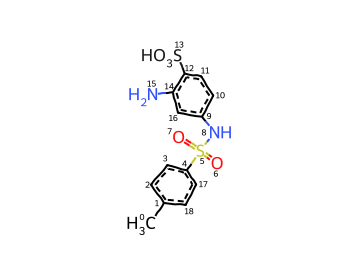 Cc1ccc(S(=O)(=O)Nc2ccc(S(=O)(=O)O)c(N)c2)cc1